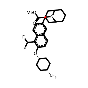 COC(=O)C1CC2CCCC(C1)N2Cc1ccc2c(C(F)F)c(O[C@H]3CC[C@@H](C(F)(F)F)CC3)ccc2c1